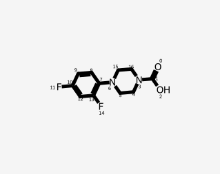 O=C(O)N1CCN(c2ccc(F)cc2F)CC1